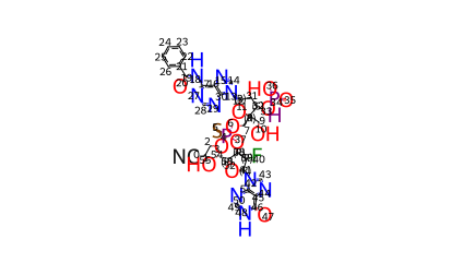 N#CCCOP(=S)(OC[C@@]1(CO)O[C@@H](n2cnc3c(NC(=O)c4ccccc4)ncnc32)C[C@@H]1O[PH](=O)O)O[C@H]1[C@@H](F)[C@H](n2cnc3c(=O)[nH]cnc32)O[C@@H]1CO